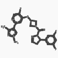 Cc1nn(C)cc1-c1cc(OC2CN(C(=O)N3N=CCC3c3cc(F)cc(F)c3)C2)c(F)cn1